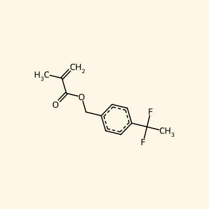 C=C(C)C(=O)OCc1ccc(C(C)(F)F)cc1